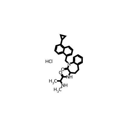 CNC(C)C(=O)NC1CCc2ccccc2N(Cc2cccc3c(C4CC4)cccc23)C1=O.Cl